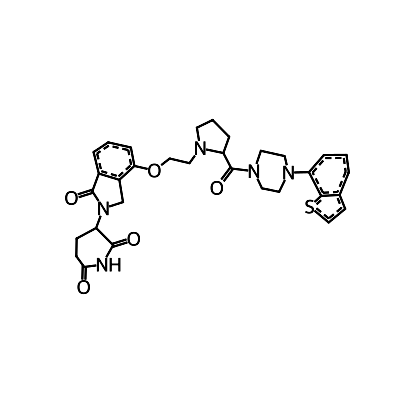 O=C1CCC(N2Cc3c(OCCN4CCCC4C(=O)N4CCN(c5cccc6ccsc56)CC4)cccc3C2=O)C(=O)N1